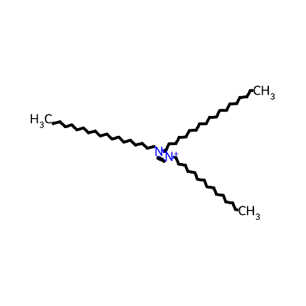 CCCCCCCCCCCCCCCCCCCn1cc[n+](CCCCCCCCCCCCCCC)c1CCCCCCCCCCCCCCCCCC